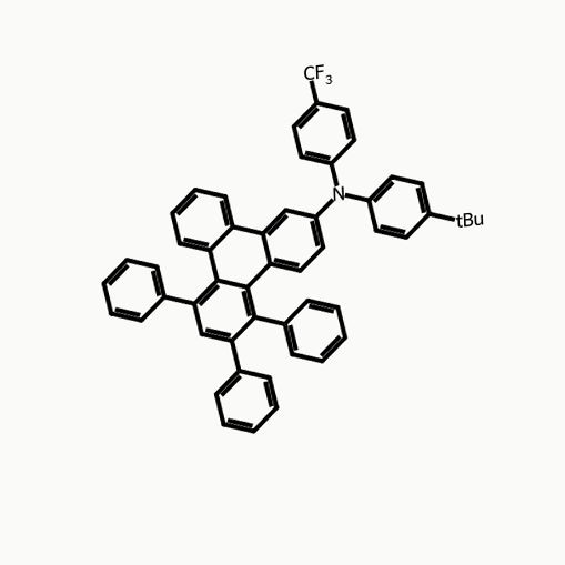 CC(C)(C)c1ccc(N(c2ccc(C(F)(F)F)cc2)c2ccc3c(c2)c2ccccc2c2c(-c4ccccc4)cc(-c4ccccc4)c(-c4ccccc4)c32)cc1